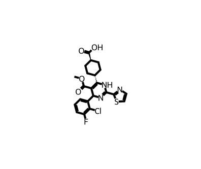 COC(=O)C1=C([C@H]2CC[C@H](C(=O)O)CC2)NC(c2nccs2)=NC1c1cccc(F)c1Cl